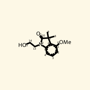 COc1cccc2c1C(C)(C)C(=O)N2CCO